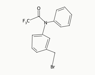 O=C(N(c1ccccc1)c1cccc(CBr)c1)C(F)(F)F